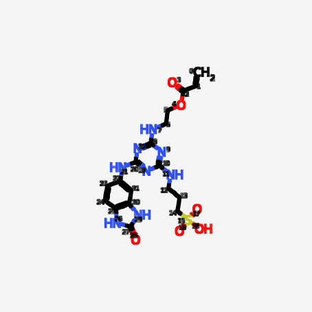 C=CC(=O)OCCNc1nc(NCCCS(=O)(=O)O)nc(Nc2ccc3[nH]c(=O)[nH]c3c2)n1